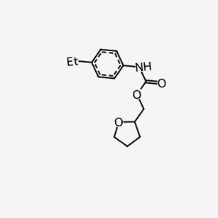 CCc1ccc(NC(=O)OCC2CCCO2)cc1